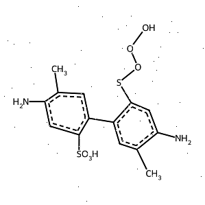 Cc1cc(-c2cc(C)c(N)cc2S(=O)(=O)O)c(SOOO)cc1N